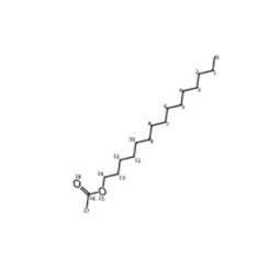 CCCCCCCCCCCCCCCOC(C)=O